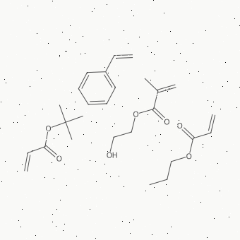 C=C(C)C(=O)OCCO.C=CC(=O)OC(C)(C)C.C=CC(=O)OCCC.C=Cc1ccccc1